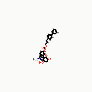 CN1CCC23c4c5ccc(OC(=O)OCCCc6ccc(-c7ccccc7)cc6)c4OC2C(=O)CCC3(O)C1C5